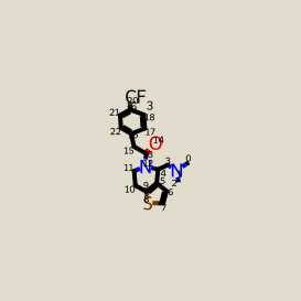 CN(C)CC1c2ccsc2CCN1C(=O)Cc1ccc(C(F)(F)F)cc1